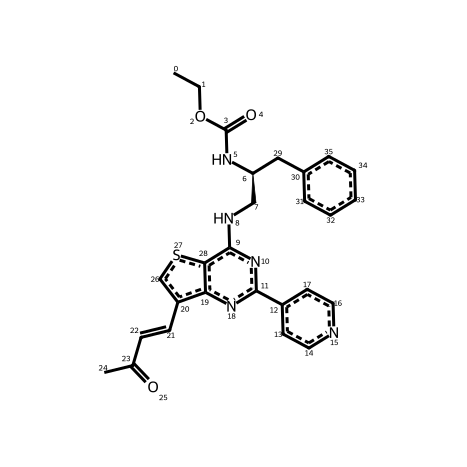 CCOC(=O)N[C@H](CNc1nc(-c2ccncc2)nc2c(/C=C/C(C)=O)csc12)Cc1ccccc1